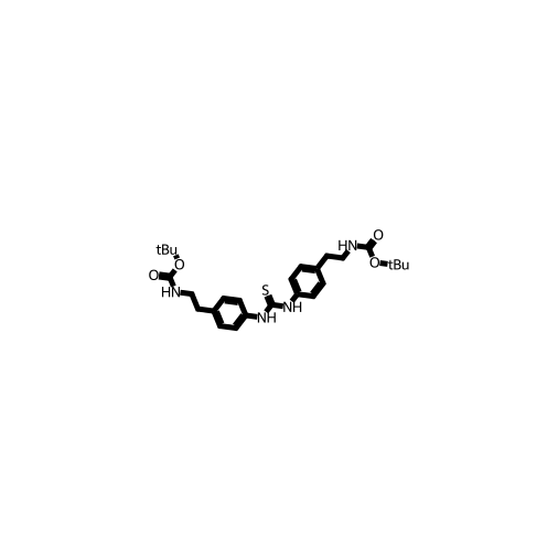 CC(C)(C)OC(=O)NCCc1ccc(NC(=S)Nc2ccc(CCNC(=O)OC(C)(C)C)cc2)cc1